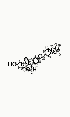 O=C(O)C1CC(O)CN1C(=O)C1(F)CC=CC=C1c1ccc(OCC2CCN(CC3(C(F)(F)F)CCC3)CC2)cc1